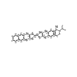 CC(C)C1CC2C=C[C@H]1c1cc3c(cc12)SC1=C(SC(=C2SC4=C(S2)Sc2cc5ccccc5cc2S4)S1)S3